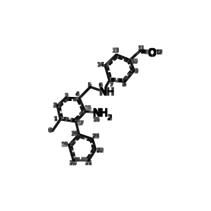 Cc1ccc(CNc2ccc(C=O)cc2)c(N)c1-c1ccccc1